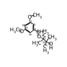 COc1cc(BOC(C)(C)C(C)(C)O)cc(OC)c1